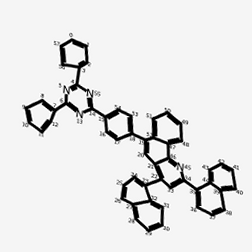 c1ccc(-c2nc(-c3ccccc3)nc(-c3ccc(-c4cc5c(-c6cccc7ccccc67)cc(-c6cccc7ccccc67)nc5c5ccccc45)cc3)n2)cc1